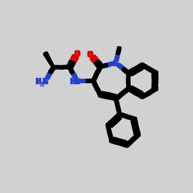 C[C@H](N)C(=O)NC1C=C(c2ccccc2)c2ccccc2N(C)C1=O